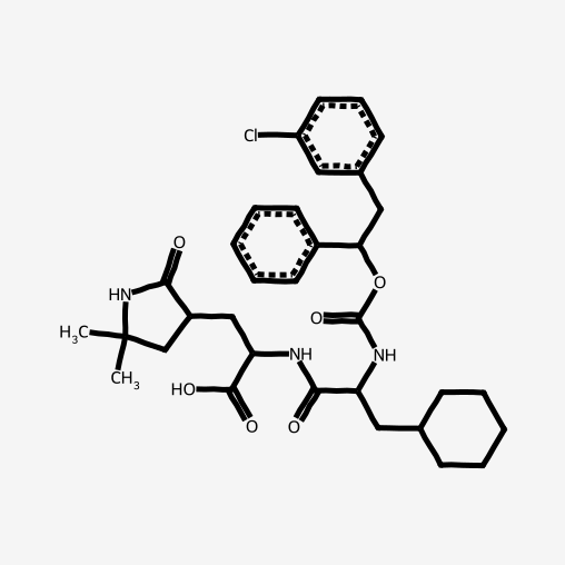 CC1(C)CC(CC(NC(=O)C(CC2CCCCC2)NC(=O)OC(Cc2cccc(Cl)c2)c2ccccc2)C(=O)O)C(=O)N1